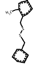 Cc1ccccc1CSSCc1ccccc1